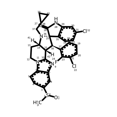 C[S+]([O-])c1ccc2c(c1)nc1n2CC[C@H]2[C@@H]1[C@H](c1cccc(Cl)c1F)[C@]1(C(=O)Nc3cc(Cl)ccc31)N2CC1CC1